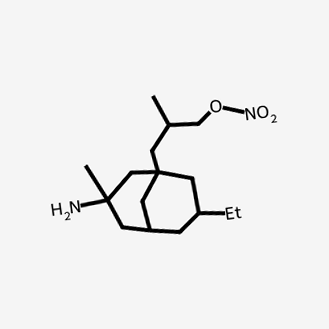 CCC1CC2CC(C)(N)CC(CC(C)CO[N+](=O)[O-])(C1)C2